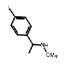 CONC(C)c1ccc(I)cc1